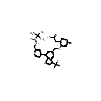 CC(C)(C)[S@+]([O-])NCc1cc(-c2cc(COc3cc(F)ccc3CC(=O)O)cc3c(C(F)(F)F)coc23)ccn1